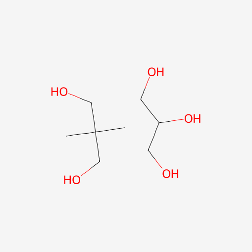 CC(C)(CO)CO.OCC(O)CO